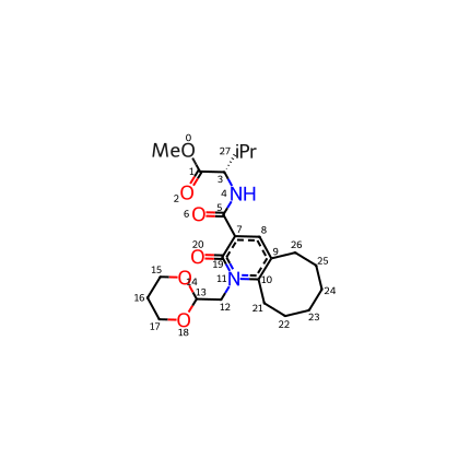 COC(=O)[C@@H](NC(=O)c1cc2c(n(CC3OCCCO3)c1=O)CCCCCC2)C(C)C